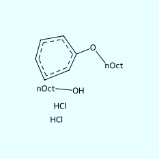 CCCCCCCCO.CCCCCCCCOc1ccccc1.Cl.Cl